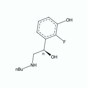 CCCCNC[C@H](O)c1cccc(O)c1F